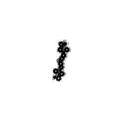 CC(C)(C)C1=CC=CC2C1OC1C(N(c3ccccc3)c3ccc4c(c3)=CC3OC5C=c6cc(N(C7=CC=CC8C7OC7C(C(C)(C)C)=CC=CC78)c7ccccc7)ccc6=CC5C3C=4)=CC=CC12